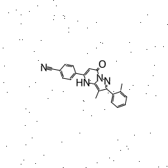 Cc1ccccc1-c1nn2c(=O)cc(-c3ccc(C#N)cc3)[nH]c2c1C